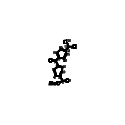 COC(=O)c1ccc(C(=O)c2ccc(C(Cl)Cl)cc2)cc1